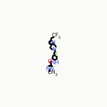 Cc1ncc(C(=O)NC2CCC(F)(CCN3CCc4ccc(CCC(F)(F)F)nc4CC3)CC2)cn1